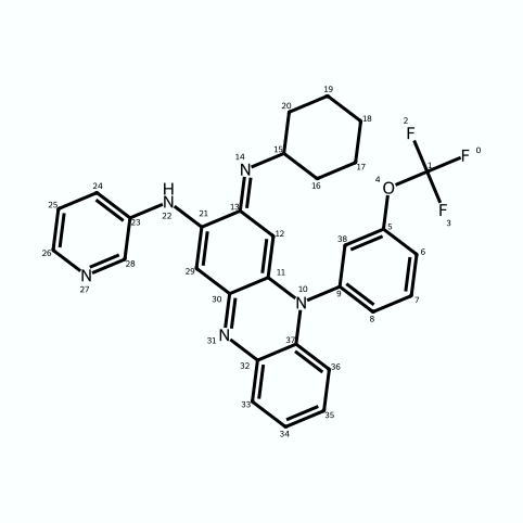 FC(F)(F)Oc1cccc(-n2c3c/c(=N\C4CCCCC4)c(Nc4cccnc4)cc-3nc3ccccc32)c1